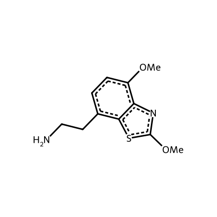 COc1nc2c(OC)ccc(CCN)c2s1